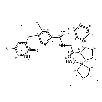 Cc1cc(Cc2ccc(C(=O)NCC(=O)N3[C@H](c4cccc(F)c4)CC[C@@H]3C3(C(=O)O)CCCC3)cc2C)c(=O)[nH]n1